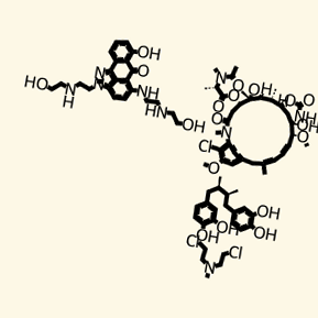 CN(CCCl)CCCl.COc1cc2cc(c1Cl)N(C)C(=O)C[C@H](OC(=O)[C@H](C)N(C)C(C)=O)[C@]1(C)O[C@H]1[C@H](C)[C@@H]1C[C@@](O)(NC(=O)O1)[C@H](OC)/C=C\C=C(\C)C2.C[C@H](Cc1ccc(O)c(O)c1)[C@@H](C)Cc1ccc(O)c(O)c1.O=C1c2c(O)cccc2-c2nn(CCNCCO)c3ccc(NCCNCCO)c1c23